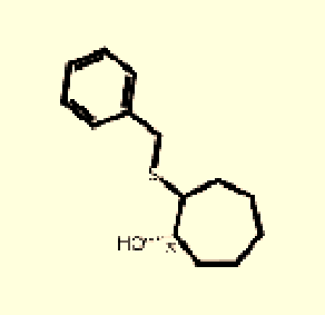 O[C@H]1CCCCCC1SCc1ccccc1